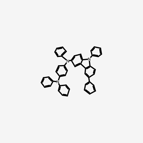 c1ccc(-c2ccc3c(c2)c2cc(N(c4ccccc4)c4ccc(N(c5ccccc5)c5ccccc5)cc4)ccc2n3-c2ccccc2)cc1